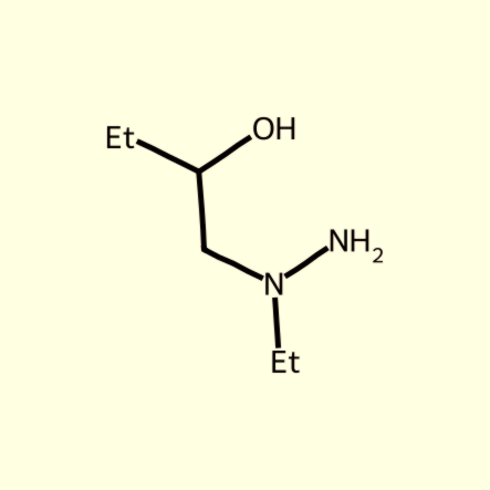 CCC(O)CN(N)CC